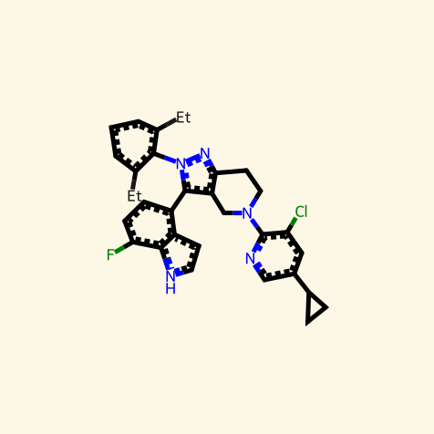 CCc1cccc(CC)c1-n1nc2c(c1-c1ccc(F)c3[nH]ccc13)CN(c1ncc(C3CC3)cc1Cl)CC2